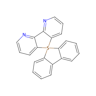 c1ccc2c(c1)-c1ccccc1S21c2cccnc2-c2ncccc21